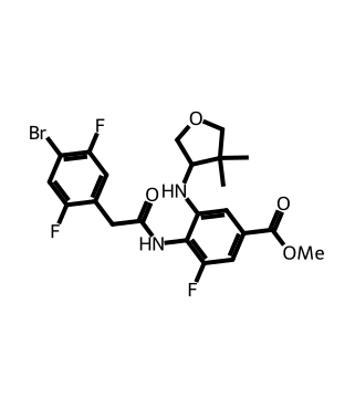 COC(=O)c1cc(F)c(NC(=O)Cc2cc(F)c(Br)cc2F)c(NC2COCC2(C)C)c1